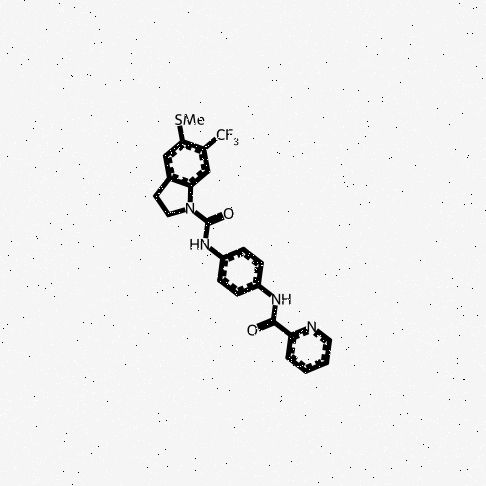 CSc1cc2c(cc1C(F)(F)F)N(C(=O)Nc1ccc(NC(=O)c3ccccn3)cc1)CC2